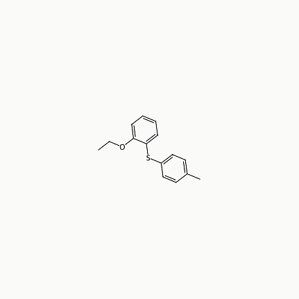 CCOc1ccccc1Sc1ccc(C)cc1